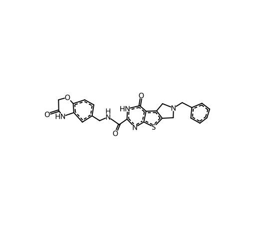 O=C1COc2ccc(CNC(=O)c3nc4sc5c(c4c(=O)[nH]3)CN(Cc3ccccc3)C5)cc2N1